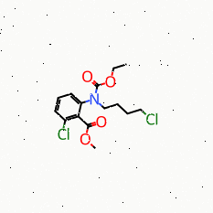 CCOC(=O)N(CCCCCl)c1cccc(Cl)c1C(=O)OC